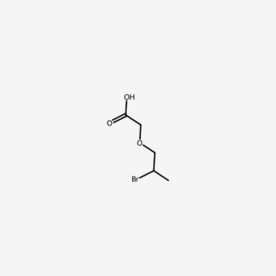 CC(Br)COCC(=O)O